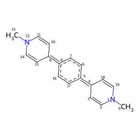 CN1C=CC(=c2ccc(=C3C=CN(C)C=C3)cc2)C=C1